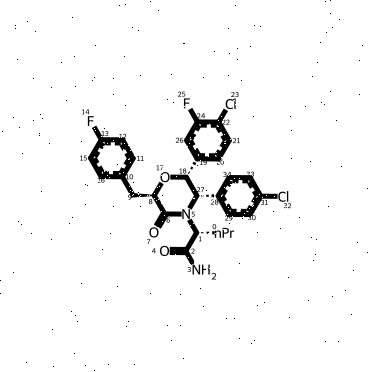 CCC[C@H](C(N)=O)N1C(=O)[C@@H](Cc2ccc(F)cc2)O[C@H](c2ccc(Cl)c(F)c2)[C@@H]1c1ccc(Cl)cc1